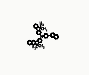 CC1(C)c2ccccc2-c2ccc(N(c3ccc(-c4ccc5ccccc5c4)cc3)c3ccc4c(c3)-c3cc5ccccc5cc3C4(C)C)cc21